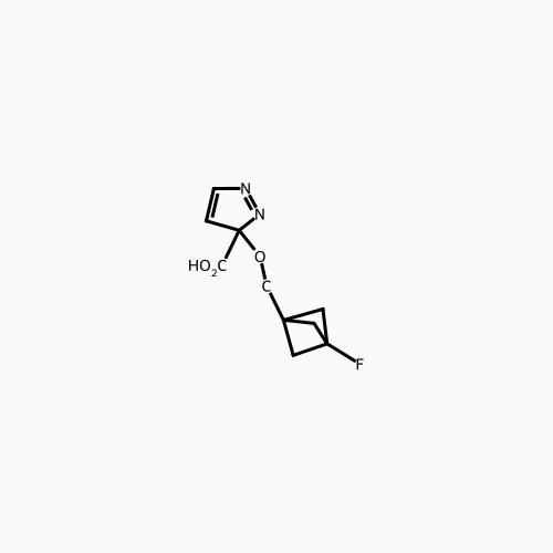 O=C(O)C1(OCC23CC(F)(C2)C3)C=CN=N1